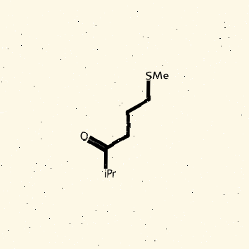 CSCCCC(=O)C(C)C